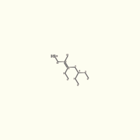 CC/C(CC(CC)CC)=C(/C)CS